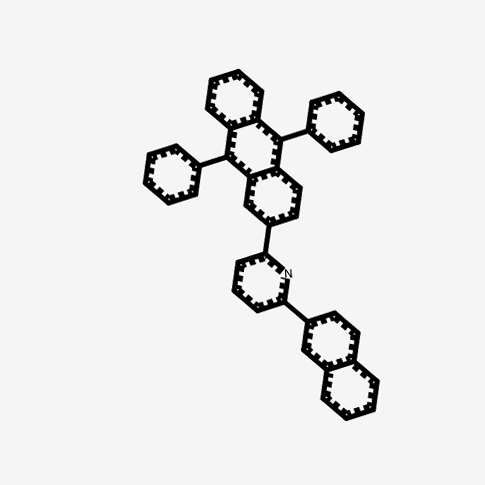 c1ccc(-c2c3ccccc3c(-c3ccccc3)c3cc(-c4cccc(-c5ccc6ccccc6c5)n4)ccc23)cc1